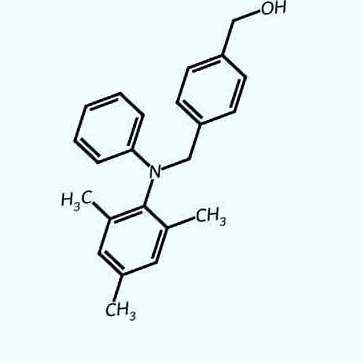 Cc1cc(C)c(N(Cc2ccc(CO)cc2)c2ccccc2)c(C)c1